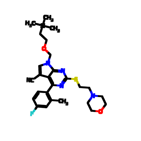 Cc1cc(F)ccc1-c1nc(SCCN2CCOCC2)nc2c1c(C#N)cn2COCC[Si](C)(C)C